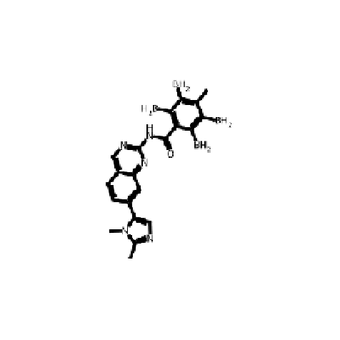 Bc1c(B)c(C(=O)Nc2ncc3ccc(-c4cnc(C)n4C)cc3n2)c(B)c(B)c1C